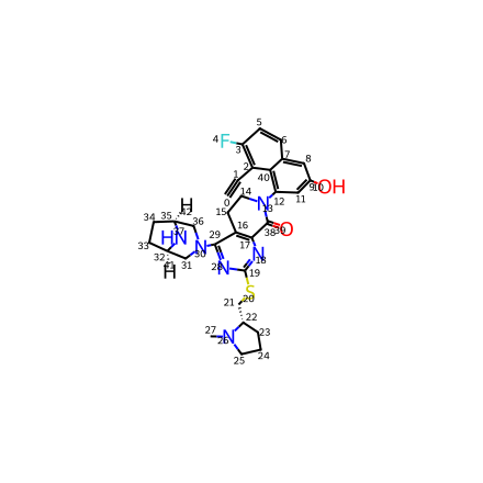 C#Cc1c(F)ccc2cc(O)cc(N3CCc4c(nc(SC[C@@H]5CCCN5C)nc4N4C[C@H]5CC[C@@H](C4)N5)C3=O)c12